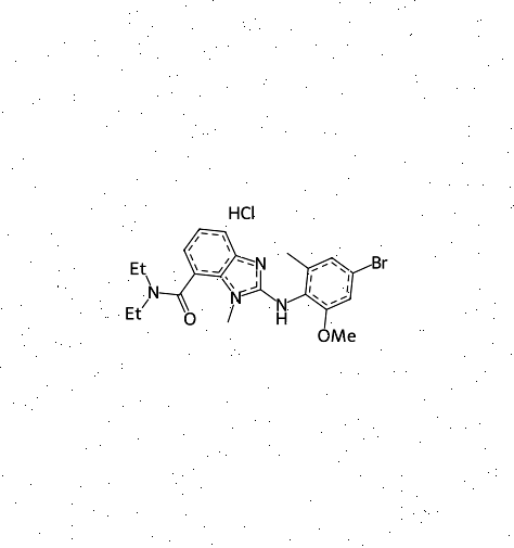 CCN(CC)C(=O)c1cccc2nc(Nc3c(C)cc(Br)cc3OC)n(C)c12.Cl